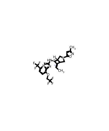 C/C=C1\C2CN(c3cc(C)no3)C[C@H]2[C@@H]1Nc1nc2c(OCC(F)(F)F)ccc(C(F)(F)F)n2n1